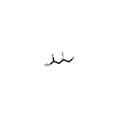 [CH2]CCC(F)C[C@H](F)CF